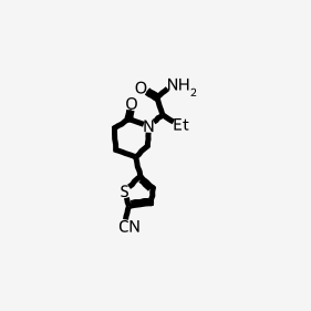 CCC(C(N)=O)N1CC(c2ccc(C#N)s2)CCC1=O